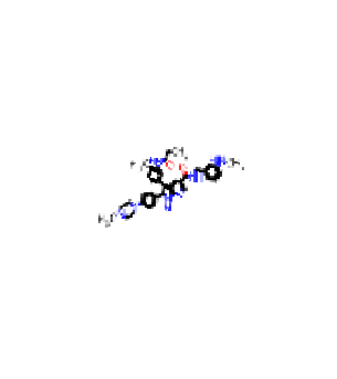 C=CC(=O)Nc1cc(-c2c(-c3ccc(N4CCN(C)CC4)cc3)[nH]c3ncc(C(=O)NCc4cccc(NC)c4)cc23)ccc1C